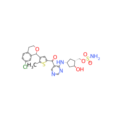 Cc1sc(C(=O)c2cncnc2N[C@@H]2C[C@H](COS(N)(=O)=O)[C@@H](O)C2)cc1C1OCCc2ccc(Cl)cc21